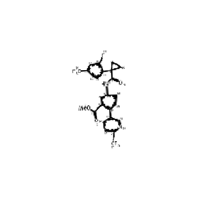 COC(=O)c1cc(NC(=O)C2(c3ccc(C(F)(F)F)cc3F)CC2)ccc1-c1ccc(C(F)(F)F)nc1